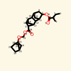 CCC(C)C(=O)OC1CC2CC1C1C3CC(CC3C(=O)OCOC3CC4CCC3C4)C21